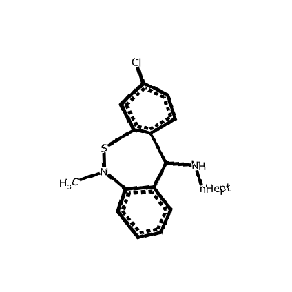 CCCCCCCNC1c2ccc(Cl)cc2SN(C)c2ccccc21